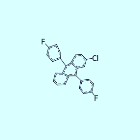 Fc1ccc(-c2c3ccccc3c(-c3ccc(F)cc3)c3cc(Cl)ccc23)cc1